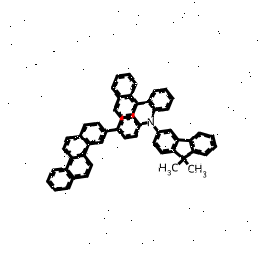 CC1(C)c2ccccc2-c2cc(N(c3ccc(-c4ccc5ccc6c7ccccc7ccc6c5c4)cc3)c3ccccc3-c3cccc4ccccc34)ccc21